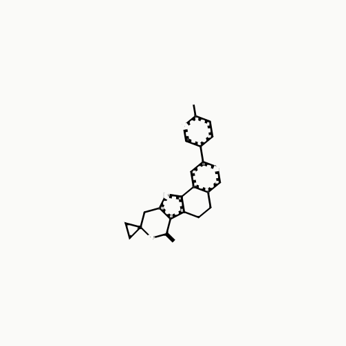 O=C1NC2(CC2)Cc2[nH]c3c(c21)CCc1cnc(-c2ccc(F)nc2)cc1-3